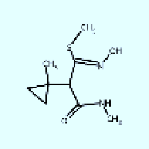 CNC(=O)C(C(=NO)SC)C1(C)CC1